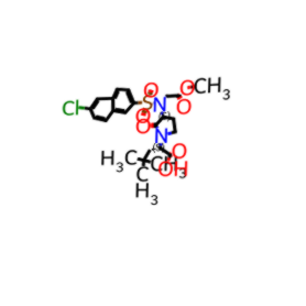 COC(=O)CN([C@H]1CCN([C@@H](CC(C)(C)C)C(=O)O)C1=O)S(=O)(=O)c1ccc2cc(Cl)ccc2c1